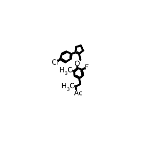 CC(=O)C(C)Cc1cc(C)c(OCC2=C(c3ccc(Cl)cc3)CCC2)c(F)c1